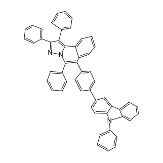 c1ccc(-c2nn3c(-c4ccccc4)c(-c4ccc(-c5ccc6c(c5)c5ccccc5n6-c5ccccc5)cc4)c4ccccc4c3c2-c2ccccc2)cc1